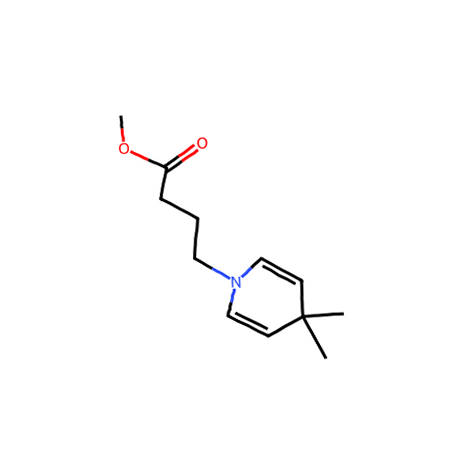 COC(=O)CCCN1C=CC(C)(C)C=C1